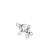 c1ccc2c(c1)ccc1c2c2cc3c4ccccc4n4c5ccccc5c(c2n1-c1nc(-n2c5ccccc5c5ccccc52)c2oc5ccccc5c2n1)c34